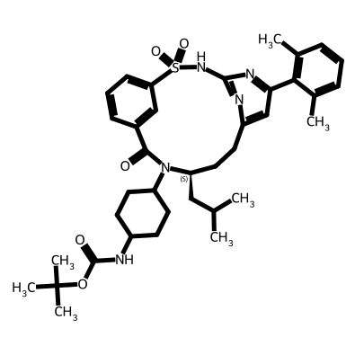 Cc1cccc(C)c1-c1cc2nc(n1)NS(=O)(=O)c1cccc(c1)C(=O)N(C1CCC(NC(=O)OC(C)(C)C)CC1)[C@H](CC(C)C)CC2